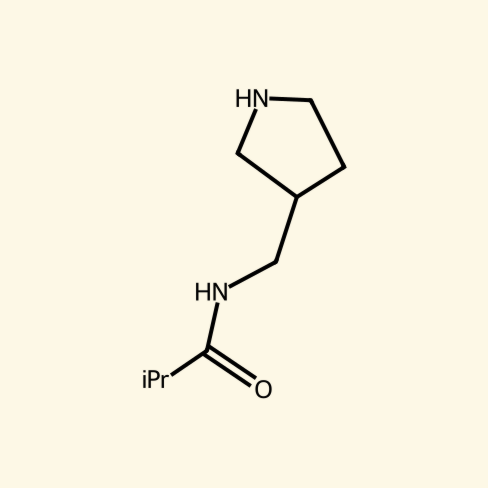 CC(C)C(=O)NCC1CCNC1